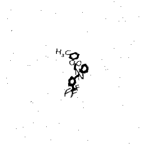 CC1CCCC(OC(=O)Cn2c(-c3cccc(C(F)(F)F)c3)nc3ccccc32)C1